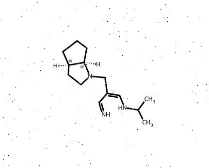 CC(C)N/C=C(\C=N)CN1CC[C@H]2CCC[C@H]21